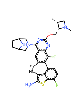 C[C@@H]1CN(C)[C@@H]1COc1nc(N2CC3CCC(C2)N3)c2cc(C(F)(F)F)c(-c3ccc(F)c4sc(N)c(C#N)c34)c(F)c2n1